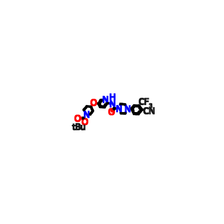 CC(C)(C)OC(=O)N1CCC(Oc2ccc(NC(=O)N3CCN(c4ccc(C#N)c(C(F)(F)F)c4)CC3)nc2)CC1